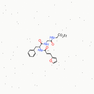 CCOC(=O)CNC(=O)CNC(=O)C(Cc1ccccc1)NC(=O)C=Cc1ccco1